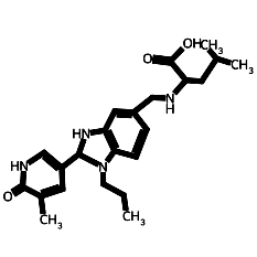 CCCN1c2ccc(CNC(CC(C)C)C(=O)O)cc2NC1c1c[nH]c(=O)c(C)c1